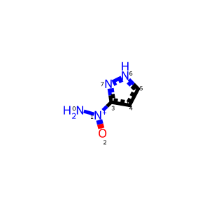 N[N+](=O)c1cc[nH]n1